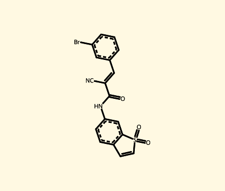 N#C/C(=C\c1cccc(Br)c1)C(=O)Nc1ccc2c(c1)S(=O)(=O)C=C2